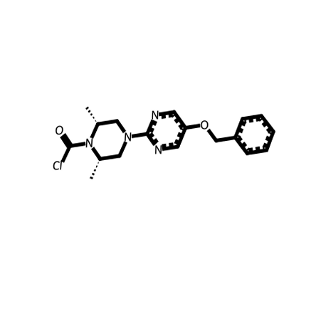 C[C@@H]1CN(c2ncc(OCc3ccccc3)cn2)C[C@H](C)N1C(=O)Cl